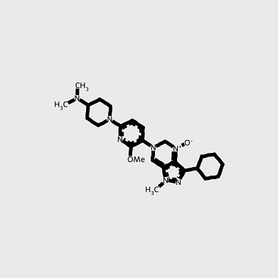 COc1nc(N2CCC(N(C)C)CC2)ccc1N1C=c2c(c(C3CCCCC3)nn2C)=[N+]([O-])C1